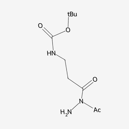 CC(=O)N(N)C(=O)CCNC(=O)OC(C)(C)C